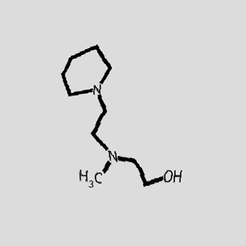 CN(CCO)CCN1CCCCC1